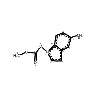 COC(=O)On1ccc2cc(C)ccc21